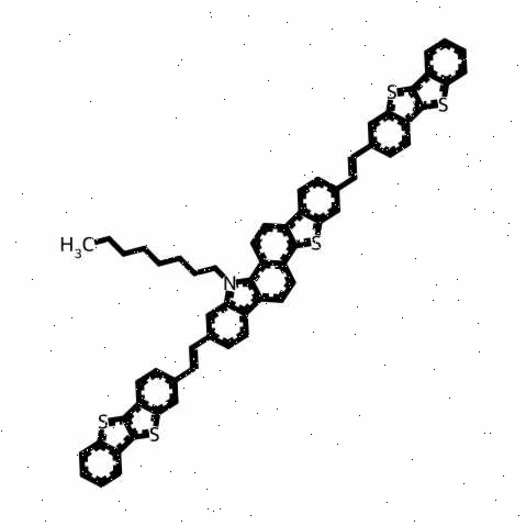 CCCCCCCCn1c2cc(/C=C/c3ccc4c(c3)sc3c5ccccc5sc43)ccc2c2ccc3c(ccc4c5ccc(/C=C/c6ccc7c(c6)sc6c8ccccc8sc76)cc5sc43)c21